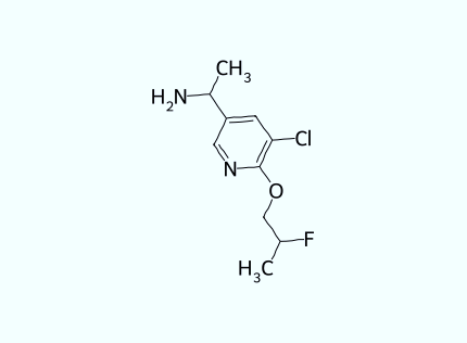 CC(F)COc1ncc(C(C)N)cc1Cl